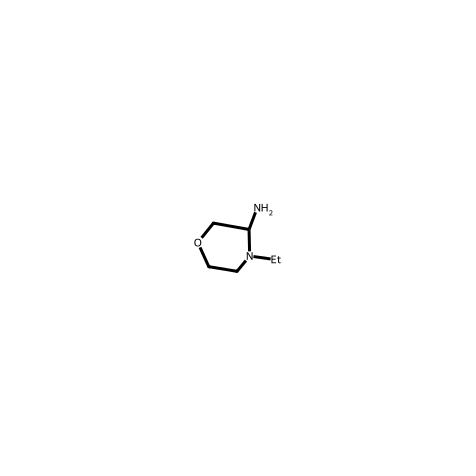 CCN1CCOCC1N